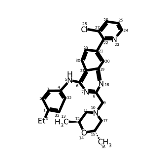 CCc1ccc(Nc2nc(CN3C[C@H](C)O[C@@H](C)C3)nc3cc(-c4ncccc4Cl)ccc23)cc1